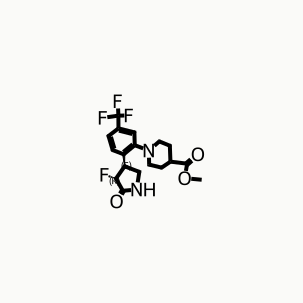 COC(=O)C1CCN(c2cc(C(F)(F)F)ccc2[C@H]2CNC(=O)[C@@H]2F)CC1